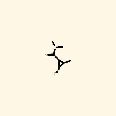 CC(C)C1C(C)C1C(=O)N(C)C